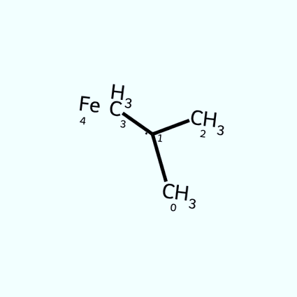 C[C](C)C.[Fe]